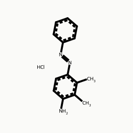 Cc1c(N)ccc(N=Nc2ccccc2)c1C.Cl